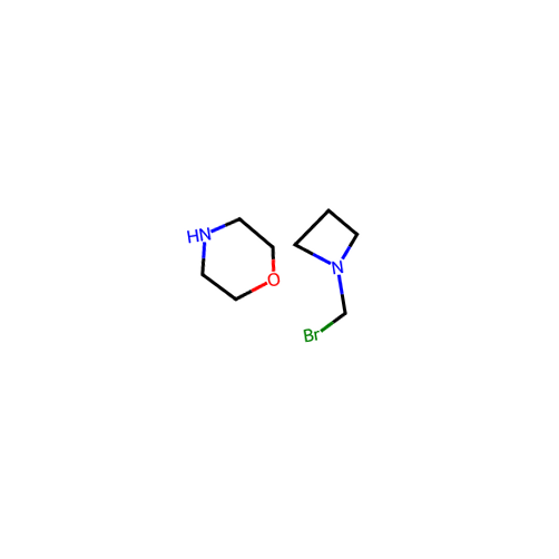 BrCN1CCC1.C1COCCN1